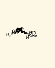 CSC(=NC#N)NCCCCc1occ2ccc(CN(C)C)cc12